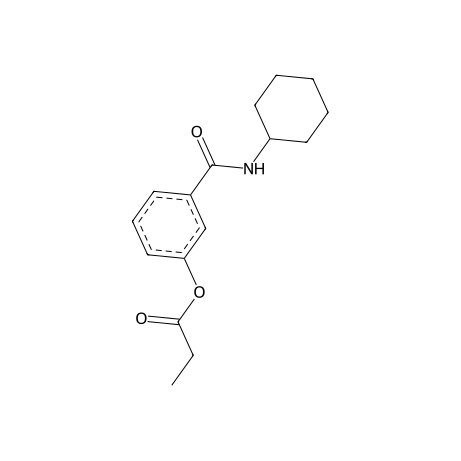 CCC(=O)Oc1cccc(C(=O)NC2CCCCC2)c1